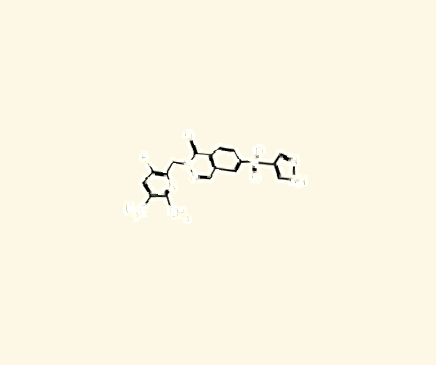 Cc1cc(F)c(Cn2ncc3cc(S(=O)(=O)c4cn[nH]c4)ccc3c2=O)nc1C